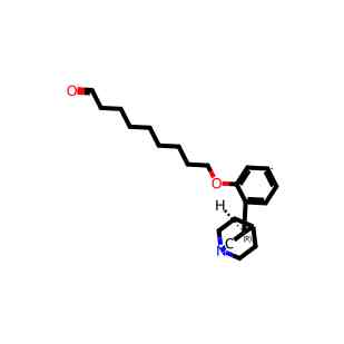 O=CCCCCCCCCOc1c[c]ccc1[C@@H]1CN2CCC1CC2